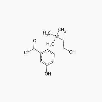 C[N+](C)(C)CCO.O=C(Cl)c1cccc(O)c1